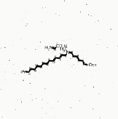 CCCCCCCCCCCCCCCCN(C)CCCCCCCCCCCCCC(C)C.NCC(=O)O